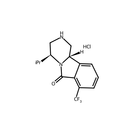 CC(C)[C@H]1CNC[C@@H]2c3cccc(C(F)(F)F)c3C(=O)N21.Cl